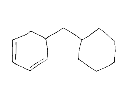 C1=CCC(CC2CCCCC2)C=C1